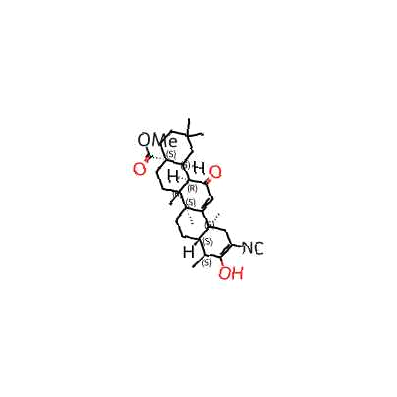 [C-]#[N+]C1=C(O)[C@@H](C)[C@@H]2CC[C@]3(C)C(=CC(=O)[C@@H]4[C@@H]5CC(C)(C)CC[C@]5(C(=O)OC)CC[C@]43C)[C@@]2(C)C1